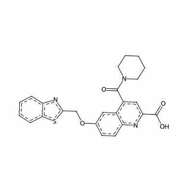 O=C(O)c1cc(C(=O)N2CCCCC2)c2cc(OCc3nc4ccccc4s3)ccc2n1